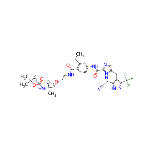 CCc1cc(NC(=O)c2ncc(Cc3c(C(F)(F)F)n[nH]c3CC#N)[nH]2)ccc1C(=O)NCCOCC(C)(C)NC(=O)OC(C)(C)C